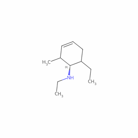 CCN[C@H]1C(C)C=CCC1CC